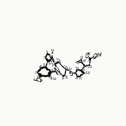 COc1ccc(-c2ccn(C)n2)c(N2CCC(COc3cccc(C(CC(=O)O)C4CC4)c3)CC2)c1